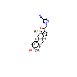 CC[C@]12CC[C@H]3[C@@H](CC[C@@H]4C[C@](C)(O)CCC[C@@]43C)[C@@H]1CC[C@@H]2C(=O)Cn1cc(C#N)cn1